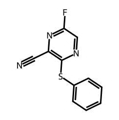 N#Cc1nc(F)cnc1Sc1ccccc1